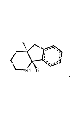 C[C@@]12CCCN[C@H]1c1ccccc1C2